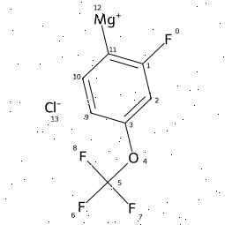 Fc1cc(OC(F)(F)F)cc[c]1[Mg+].[Cl-]